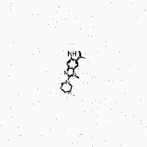 C=C(C)c1cc2c(cc1N)nc(N1CCC[C@@H](C)C1)n2C